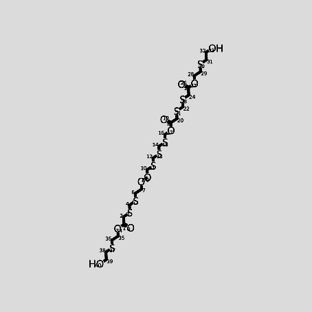 O=C(CSCSCCOOCSCSCSCOC(=O)CSCSCC(=O)OCCSCCO)OCCSCCO